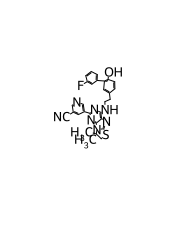 CC1(C)CSc2nc3c(NCCc4ccc(O)c(-c5cccc(F)c5)c4)nc(-c4cncc(C#N)c4)nc3n21